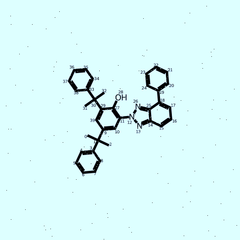 CC(C)(c1ccccc1)c1cc(-n2nc3cccc(-c4ccccc4)c3n2)c(O)c(C(C)(C)c2ccccc2)c1